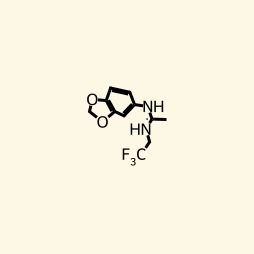 C[C](NCC(F)(F)F)Nc1ccc2c(c1)OCO2